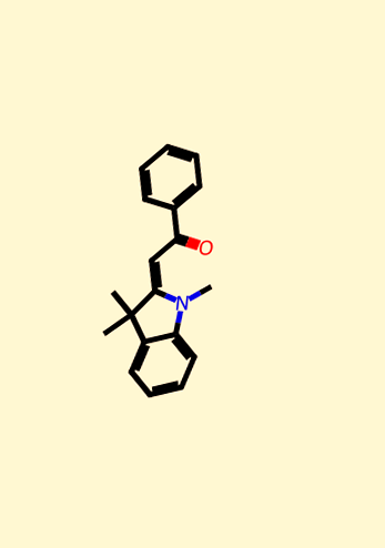 CN1C(=CC(=O)c2ccccc2)C(C)(C)c2ccccc21